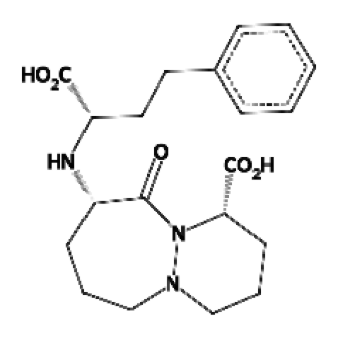 O=C(O)[C@H](CCc1ccccc1)N[C@H]1CCCN2CCC[C@@H](C(=O)O)N2C1=O